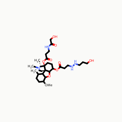 COC1CCC(C)C2C1OC1C(OC(=O)CCNNCCCO)CC[C@@]3(OC(=O)CCNC(=O)CO)[C@@H](C)N(C)CC[C@@]123